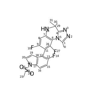 Cc1nnc2n1-c1c(cc(F)c(-c3c(F)ccc4c3ccn4S(C)(=O)=O)c1F)NC2(C)C